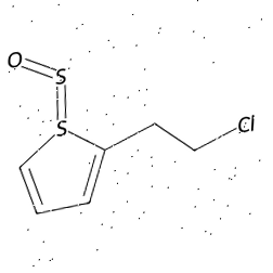 O=S=S1C=CC=C1CCCl